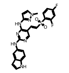 Cn1ccc(Nc2nc(Nc3ccc4[nH]ccc4c3)ncc2C=CS(=O)(=O)c2ccc(F)cc2F)n1